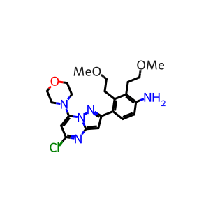 COCCc1c(N)ccc(-c2cc3nc(Cl)cc(N4CCOCC4)n3n2)c1CCOC